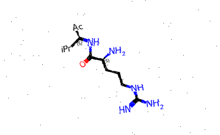 CC(=O)[C@@H](NC(=O)[C@@H](N)CCCNC(=N)N)C(C)C